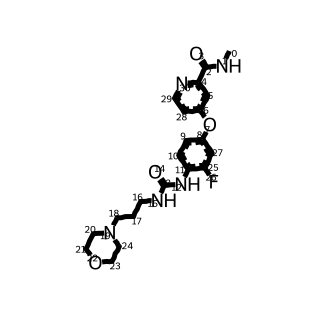 CNC(=O)c1cc(Oc2ccc(NC(=O)NCCCN3CCOCC3)c(F)c2)ccn1